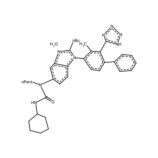 CCCCCN(C(=O)NC1CCCCC1)c1ccc2c(c1)nc(CCCC)n2-c1ccc(-c2ccccc2)c(-c2nnn[nH]2)c1C.O